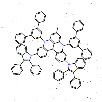 Cc1cc2c3c(c1)N(c1cc(-c4ccccc4)cc(-c4ccccc4)c1)c1cc(-n4c(-c5ccccc5)c(-c5ccccc5)c5ccccc54)ccc1B3c1ccc(-n3c(-c4ccccc4)c(-c4ccccc4)c4ccccc43)cc1N2c1cc(-c2ccccc2)cc(-c2ccccc2)c1